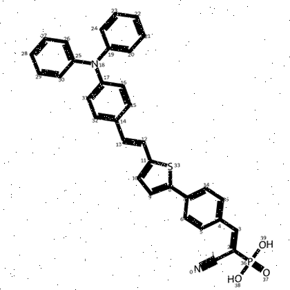 N#C/C(=C\c1ccc(-c2ccc(/C=C/c3ccc(N(c4ccccc4)c4ccccc4)cc3)s2)cc1)P(=O)(O)O